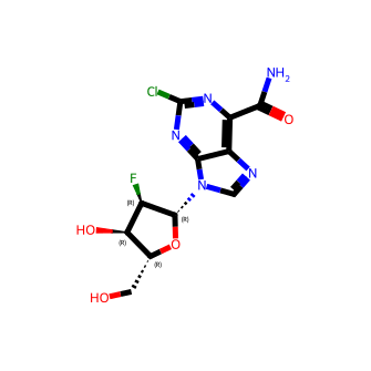 NC(=O)c1nc(Cl)nc2c1ncn2[C@@H]1O[C@H](CO)[C@@H](O)[C@H]1F